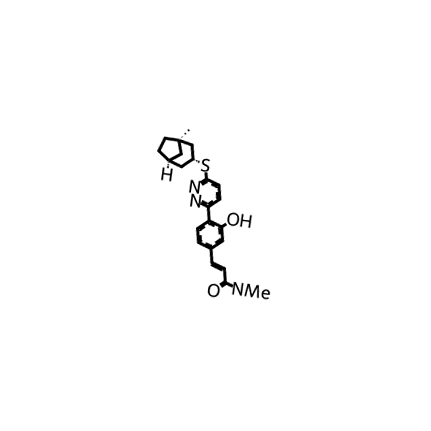 CNC(=O)/C=C/c1ccc(-c2ccc(S[C@@H]3C[C@H]4CC[C@](C)(C4)C3)nn2)c(O)c1